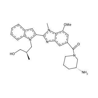 COc1cc(C(=O)N2CCC[C@@H](N)C2)cc2nc(-c3cc4ccccc4n3C[C@@H](C)CO)n(C)c12